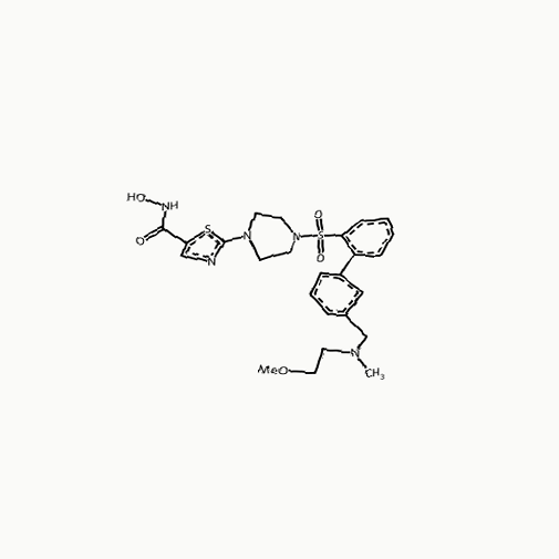 COCCN(C)Cc1cccc(-c2ccccc2S(=O)(=O)N2CCN(c3ncc(C(=O)NO)s3)CC2)c1